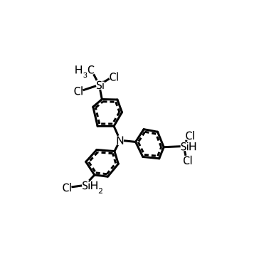 C[Si](Cl)(Cl)c1ccc(N(c2ccc([SiH2]Cl)cc2)c2ccc([SiH](Cl)Cl)cc2)cc1